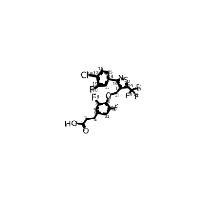 O=C(O)CCc1cc(F)c(OCc2c(-c3ccc(Cl)c(F)c3)nsc2C(F)(F)F)c(F)c1